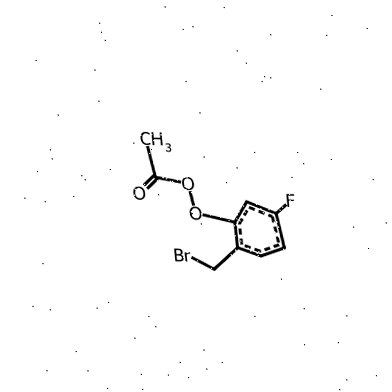 CC(=O)OOc1cc(F)ccc1CBr